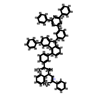 C=C(NC(/C=C(\C)c1ccccc1)c1ccccc1)c1cccc(-c2cccc3c2c2cc(-c4ccccc4)ccc2n3-c2cccc(-c3nc(-c4ccccc4)nc(-c4ccccc4)n3)c2)c1